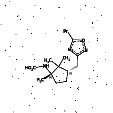 CC(C)c1nc(C[C@@H]2CC[C@](C)(NC(=O)O)C2(C)C)no1